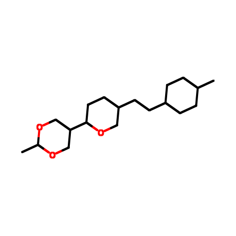 CC1CCC(CCC2CCC(C3COC(C)OC3)OC2)CC1